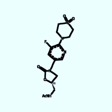 CC(=O)NC[C@H]1CN(c2cnc(N3CCS(=O)(=O)CC3)c(F)c2)C(=O)O1